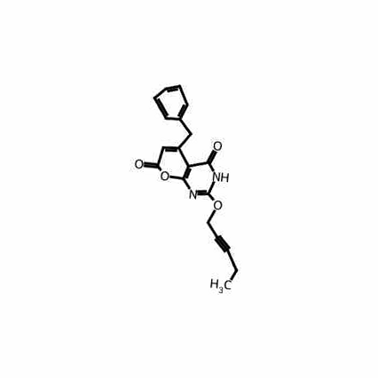 CCC#CCOc1nc2oc(=O)cc(Cc3ccccc3)c2c(=O)[nH]1